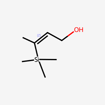 C/C(=C/CO)[Si](C)(C)C